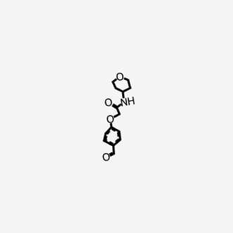 O=Cc1ccc(OCC(=O)NC2CCOCC2)cc1